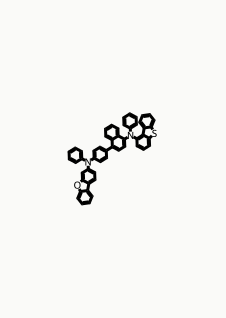 c1ccc(N(c2ccc(-c3ccc(N(c4ccccc4)c4cccc5sc6ccccc6c45)c4ccccc34)cc2)c2ccc3c(c2)oc2ccccc23)cc1